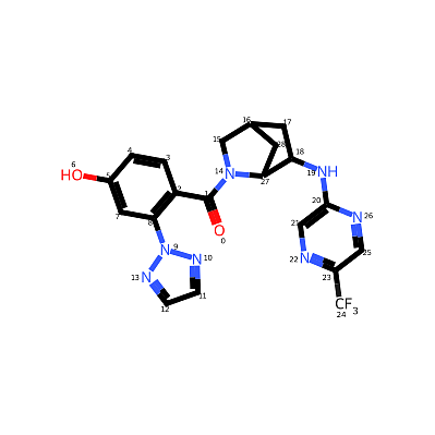 O=C(c1ccc(O)cc1-n1nccn1)N1CC2CC(Nc3cnc(C(F)(F)F)cn3)C1C2